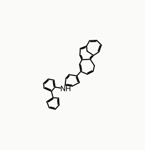 C1=CC2=CC=C3C=C(c4ccc(Nc5ccccc5-c5ccccc5)cc4)C=CCC3=C(C=C1)C2